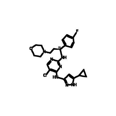 Fc1ccc([C@H](CCN2CCOCC2)Nc2ncc(Cl)c(Nc3cc(C4CC4)[nH]n3)n2)cc1